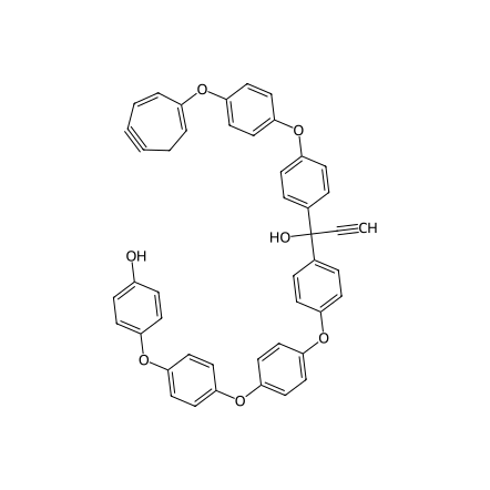 C#CC(O)(c1ccc(Oc2ccc(OC3=CCC#CC=C3)cc2)cc1)c1ccc(Oc2ccc(Oc3ccc(Oc4ccc(O)cc4)cc3)cc2)cc1